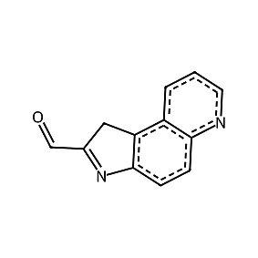 O=CC1=Nc2ccc3ncccc3c2C1